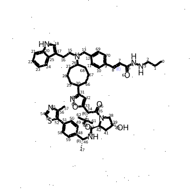 CCCNNC(=O)/C=C/c1ccc(CN(CCc2c[nH]c3ccccc23)C2CCCC(c3cc([C@H](C(=O)N4C[C@H](O)C[C@H]4C(=O)N[C@H](C)c4ccc(-c5scnc5C)cc4)C(C)(C)C)on3)CCC2)cc1